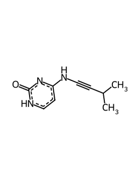 CC(C)C#CNc1cc[nH]c(=O)n1